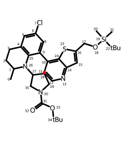 CC1CCc2cc(Cl)cc(-c3ccnc4cc(CO[Si](C)(C)C(C)(C)C)sc34)c2N1C1CCN(C(=O)OC(C)(C)C)C1